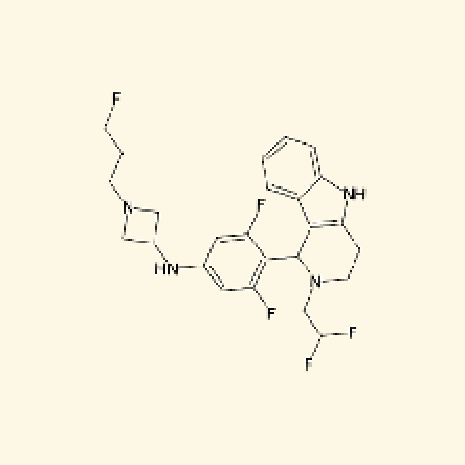 FCCCN1CC(Nc2cc(F)c(C3c4c([nH]c5ccccc45)CCN3CC(F)F)c(F)c2)C1